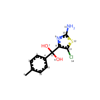 Cc1ccc(C(O)(O)c2nc(N)sc2Cl)cc1